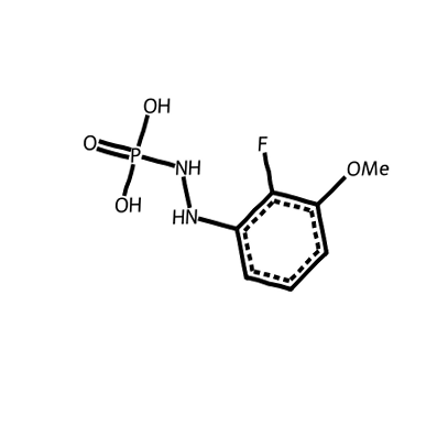 COc1cccc(NNP(=O)(O)O)c1F